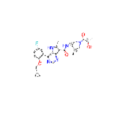 Cc1[nH]c2c(-c3cc(F)ccc3OCC3CC3)ncnc2c1C(=O)N[C@@H]1CN(C(=O)[C@H](C)O)C[C@H]1C